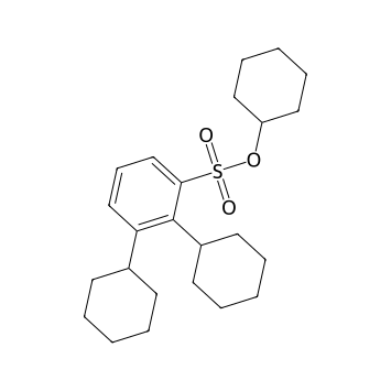 O=S(=O)(OC1CCCCC1)c1cccc(C2CCCCC2)c1C1CCCCC1